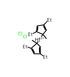 CCC1=C[C](C)([Hf+2][C]2(C)C=C(CC)C=C2CC)C(CC)=C1.[Cl-].[Cl-]